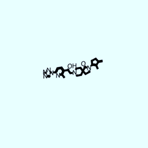 C=C1CCC(N2CCC3(CCN(CC(O)c4ccc(-n5cnnn5)nc4C)CC3)C2=O)=C1C